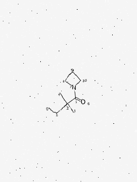 CCC(C)(C)C(=O)N1CCC1